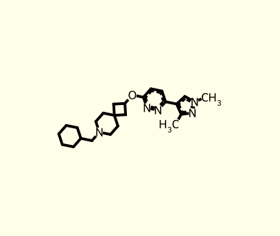 Cc1nn(C)cc1-c1ccc(OC2CC3(CCN(CC4CCCCC4)CC3)C2)nn1